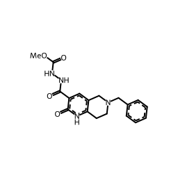 COC(=O)NNC(=O)c1cc2c([nH]c1=O)CCN(Cc1ccccc1)C2